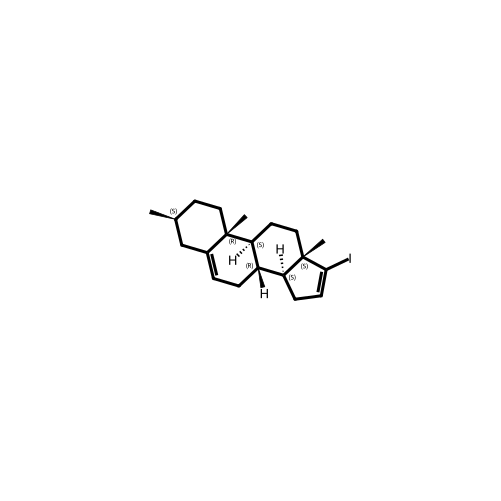 C[C@H]1CC[C@@]2(C)C(=CC[C@@H]3[C@@H]2CC[C@]2(C)C(I)=CC[C@@H]32)C1